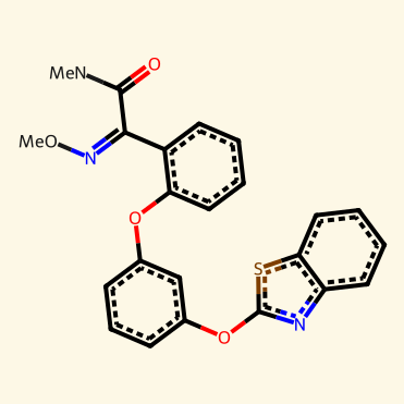 CNC(=O)C(=NOC)c1ccccc1Oc1cccc(Oc2nc3ccccc3s2)c1